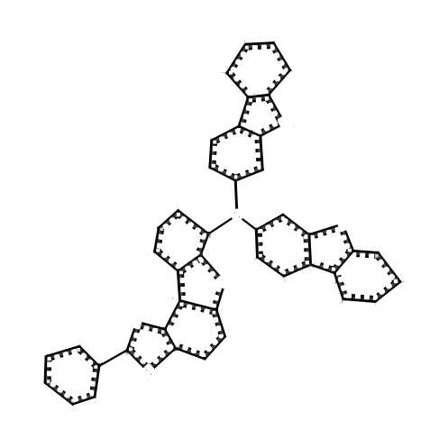 c1ccc(-c2nc3ccc4oc5c(N(c6ccc7c(c6)sc6ccccc67)c6ccc7c(c6)sc6ccccc67)cccc5c4c3s2)cc1